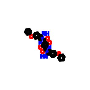 N=c1c2ccc(OC3=CCCC=C3)cc2c2nc3c(=O)c4c(=O)n5c(=N)c6ccc(Oc7ccccc7)cc6c5nc4c(=O)c3c(=O)n12